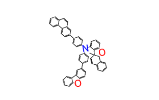 CC12C=Cc3ccccc3C1Oc1cccc(N(c3ccc(-c4ccc5c(ccc6ccccc65)c4)cc3)c3ccc(-c4ccc5oc6ccccc6c5c4)cc3)c12